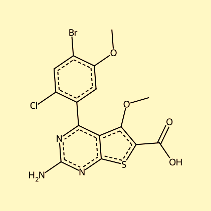 COc1cc(-c2nc(N)nc3sc(C(=O)O)c(OC)c23)c(Cl)cc1Br